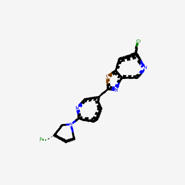 F[C@H]1CCN(c2ccc(-c3nc4cnc(Cl)cc4s3)cn2)C1